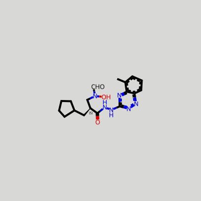 Cc1cccc2nnc(NNC(=O)[C@@H](CC3CCCC3)CN(O)C=O)nc12